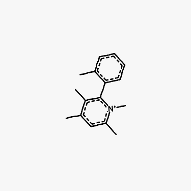 Cc1ccccc1-c1c(C)c(C)cc(C)[n+]1C